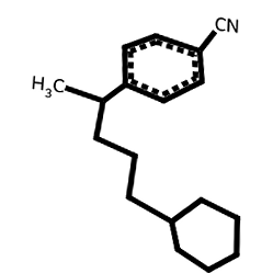 CC(CCCC1CCCCC1)c1ccc(C#N)cc1